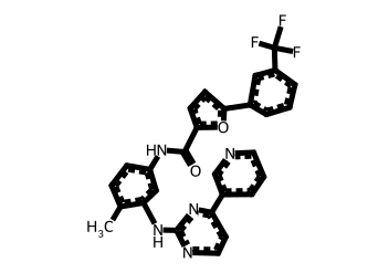 Cc1ccc(NC(=O)c2ccc(-c3cccc(C(F)(F)F)c3)o2)cc1Nc1nccc(-c2cccnc2)n1